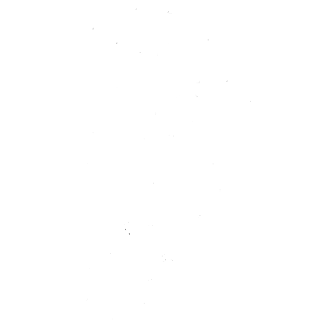 C1=Cc2cc(C3(c4ccccc4)c4ccccc4-c4ccc(-c5nc6ccccc6s5)cc43)c3cccc4c3c2C(=CC4)C1